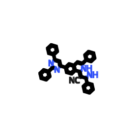 N#C/C(C(=N)c1ccccc1)=C1/NC(c2ccccc2)=Cc2cc(-c3cc(-c4ccccc4)nc(-c4ccccc4)n3)ccc21